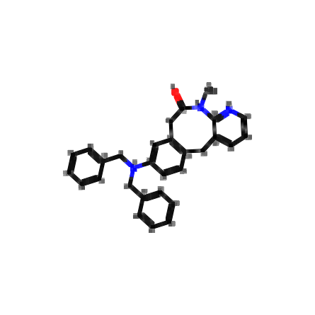 CC(C)(C)N1C(=O)Cc2cc(N(Cc3ccccc3)Cc3ccccc3)ccc2Cc2cccnc21